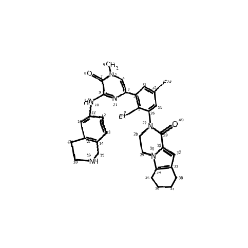 CCc1c(-c2cn(C)c(=O)c(Nc3ccc4c(c3)CCNC4)n2)cc(F)cc1N1CCn2c(cc3c2CCCC3)C1=O